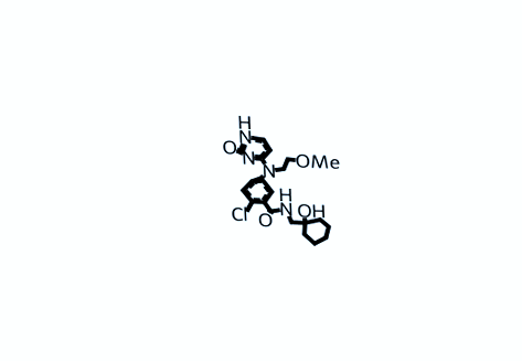 COCCN(c1ccc(Cl)c(C(=O)NCC2(O)CCCCC2)c1)c1cc[nH]c(=O)n1